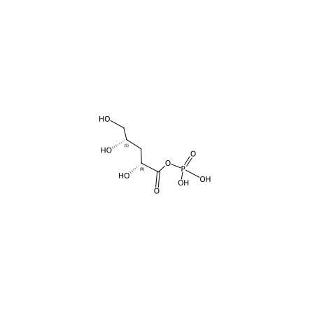 O=C(OP(=O)(O)O)[C@H](O)C[C@H](O)CO